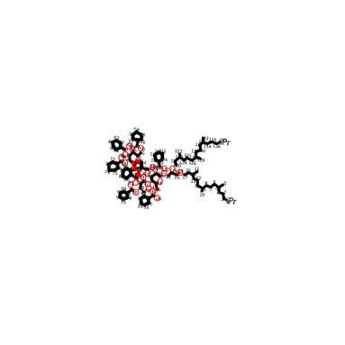 CC(C)CCCC(C)CCCC(C)CCCC(C)CCOCC(COC1OC(COC(=O)c2ccccc2)C(OC(OCCOC2OC(C)C(OC(=O)c3ccccc3)C(OC(=O)c3ccccc3)C2OC(=O)c2ccccc2)C(OC(=O)c2ccccc2)[C@@H](CO)OC(=O)c2ccccc2)C(OC(=O)c2ccccc2)C1OC(=O)c1ccccc1)OCCC(C)CCCC(C)CCCC(C)CCCC(C)C